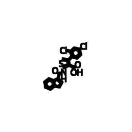 O=C(Nc1scc(-c2ccc(Cl)cc2Cl)c1C(=O)O)C1=CCc2ccccc21